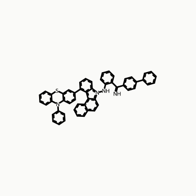 N=C(c1ccc(-c2ccccc2)cc1)c1ccccc1Nn1c2cccc(-c3ccc4c(c3)Sc3ccccc3N4c3ccccc3)c2c2c3ccccc3ccc21